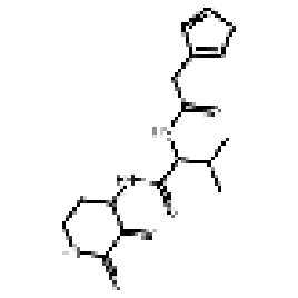 CC(C)C(NC(=O)Cc1ccsc1)C(=O)NC1CCNC(=O)C1=O